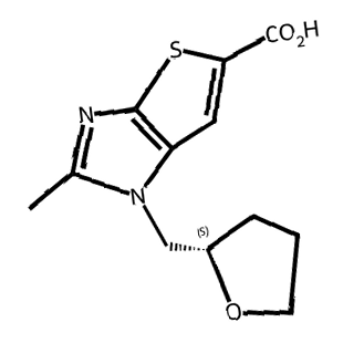 Cc1nc2sc(C(=O)O)cc2n1C[C@@H]1CCCO1